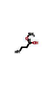 CCCCC[SiH](O)O[SiH3]